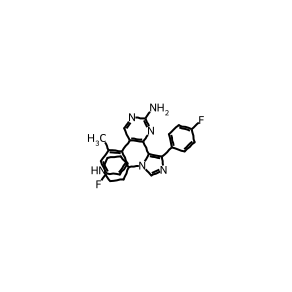 Cc1cc(F)ccc1-c1cnc(N)nc1-c1c(-c2ccc(F)cc2)ncn1C1CCNCC1